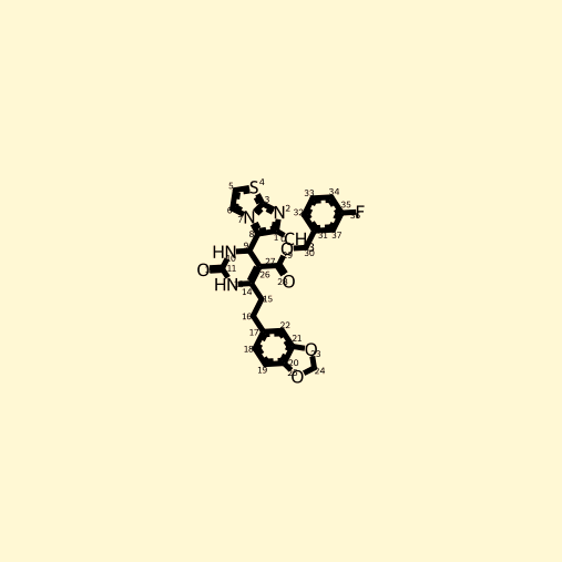 Cc1nc2sccn2c1C1NC(=O)NC(CCc2ccc3c(c2)OCO3)=C1C(=O)OCc1cccc(F)c1